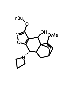 CCCCOc1noc2c1C(O)C13OC(C=C1OC)CC3[C@@H]2N1CCC1